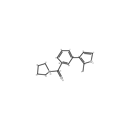 Cc1occc1-c1cccc(C(=O)N2CCCC2)c1